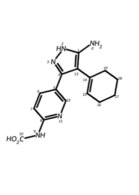 Nc1[nH]nc(-c2ccc(NC(=O)O)nc2)c1C1=CCCCC1